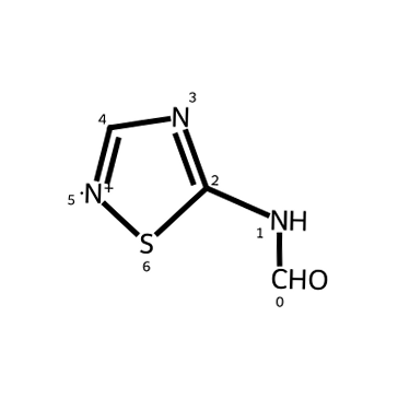 O=CNC1=NC=[N+]S1